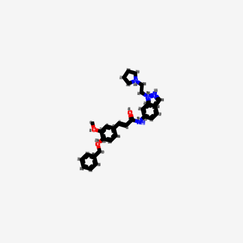 COc1cc(C=CC(=O)Nc2ccc3cnn(CCN4CCCC4)c3c2)ccc1OCc1ccccc1